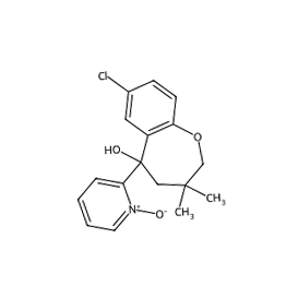 CC1(C)COc2ccc(Cl)cc2C(O)(c2cccc[n+]2[O-])C1